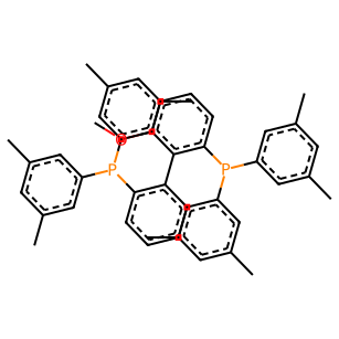 COc1cccc(P(c2cc(C)cc(C)c2)c2cc(C)cc(C)c2)c1-c1ccccc1P(c1cc(C)cc(C)c1)c1cc(C)cc(C)c1